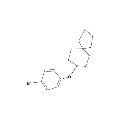 Brc1ccc(OC2CCC3(CCCC3)CC2)cc1